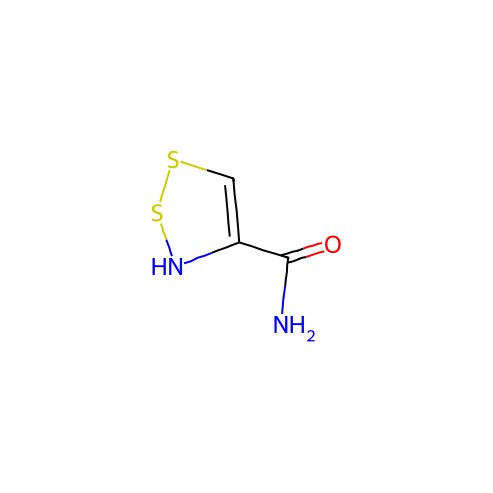 NC(=O)C1=CSSN1